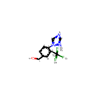 O=Cc1ccc(-n2cncn2)c(C(F)(F)F)c1